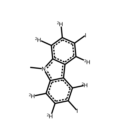 [2H]c1c(I)c([2H])c2c3c([2H])c(I)c([2H])c([2H])c3n(C)c2c1[2H]